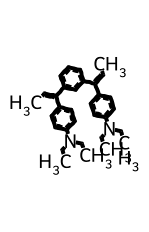 C/C=C(/c1ccc(N(CC)CC)cc1)c1cccc(/C(=C/C)c2ccc(N(CC)CC)cc2)c1